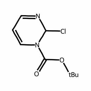 CC(C)(C)OC(=O)N1C=CC=NC1Cl